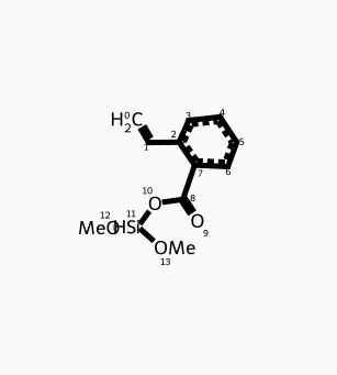 C=Cc1ccccc1C(=O)O[SiH](OC)OC